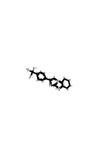 FC(F)(F)c1ccc(-c2cn3c4c(sc3n2)CCCC4)cc1